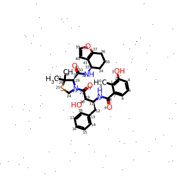 Cc1c(O)cccc1C(=O)N[C@@H](Cc1ccccc1)[C@H](O)C(=O)N1CSC(C)(C)[C@H]1C(=O)N[C@@H]1CCCc2occc21